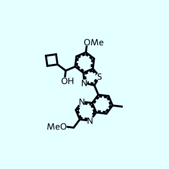 COCc1cnc2c(-c3nc4c(C(O)C5CCC5)cc(OC)cc4s3)cc(C)cc2n1